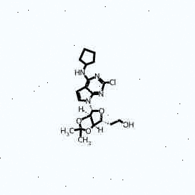 CC1(C)O[C@@H]2[C@H](O1)[C@@H](CCO)O[C@H]2n1ccc2c(NC3CCCC3)nc(Cl)nc21